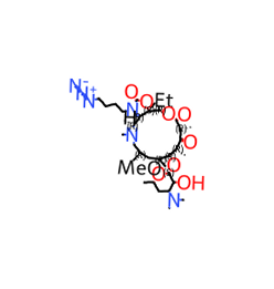 CC[C@H]1OC(=O)[C@H](C)C(=O)[C@H](C)[C@@H](O[C@@H]2OC(C)CC(N(C)C)C2O)[C@](C)(OC)C[C@@H](C)CN(C)[C@H](C)[C@H]2N(CCCCN=[N+]=[N-])C(=O)O[C@]12C